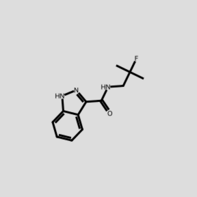 CC(C)(F)CNC(=O)c1n[nH]c2ccccc12